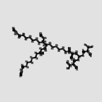 C=C(C)C(=O)OCC(COC(=O)C(=C)C)OC(=O)NCCCCCCN(OCNCCCCCCOC#N)N(C=O)CCCCCCOC#N